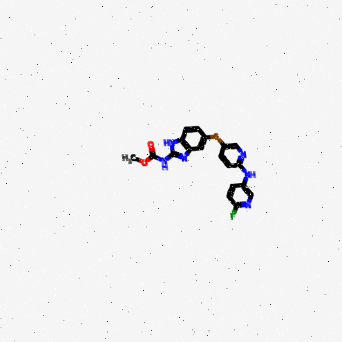 COC(=O)Nc1nc2cc(Sc3ccc(Nc4ccc(F)nc4)nc3)ccc2[nH]1